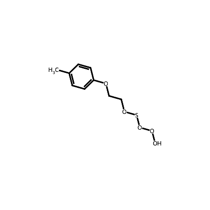 Cc1ccc(OCCOSOOO)cc1